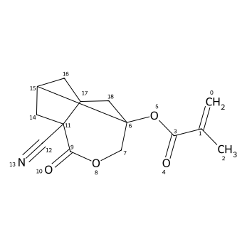 C=C(C)C(=O)OC12COC(=O)C3(C#N)CC1CC3C2